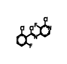 Fc1cccc(Cl)c1C(Cl)=Nc1ccnc(Cl)c1F